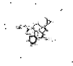 CC(C)(C)NC(=O)N1CCN2C(C3CC3)=CC(C(N)=O)C2C1c1ccccc1F